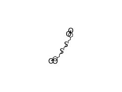 O=C1CCC(CCCSCCCSCCCC2CCC(=O)OC2)CO1